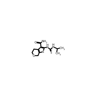 CC(C)NC(=S)Nc1sc2c(c1C(N)=O)CCOC2